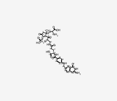 CC1(SC[C@H](N)C(=O)O)CC(=O)[C@H](CC(=O)O)N1C(=O)[C@@H](N)CNC(=O)CC[C@@H](NC(=O)c1ccc(NCc2cnc3nc(N)[nH]c(=O)c3n2)cc1)C(=O)O